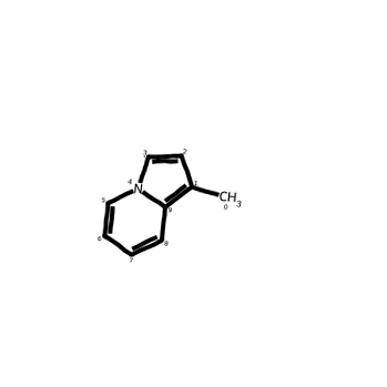 Cc1c[c]n2ccccc12